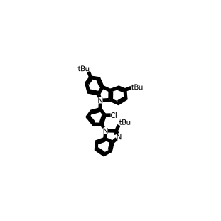 CC(C)(C)c1ccc2c(c1)c1cc(C(C)(C)C)ccc1n2-c1cccc(-n2c(C(C)(C)C)nc3ccccc32)c1Cl